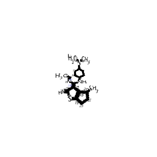 C/C=N/C(NC1CCC(N(C)C)CC1)=C1\C(=N)SC2=C1C(C)CC2